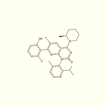 Cc1ccnc(C(C)C)c1-n1c(=O)nc(N2CCCC[C@@H]2C)c2cc(F)c(-c3c(O)cccc3F)nc21